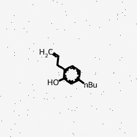 C=CCc1ccc(CCCC)cc1O